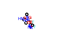 COC1N(c2ccccc2)C(=O)N(C2(N3CCNCC3)C=CC=CC2)N1C1COC(Cn2cncn2)(c2ccc(F)cc2F)O1